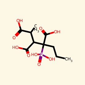 CCCC(C(=O)O)(C(C(=O)O)C(C)C(=O)O)P(=O)(O)O